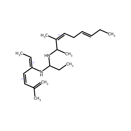 C=C(C)/C=C\C(=C/C)NC(CC)NC(C)/C(C)=C\CC=CCC